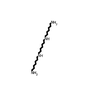 NCCCCCCCNCCCCCCCNCCCCCCCN